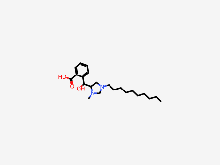 CCCCCCCCCCN1CC(C(O)c2ccccc2C(=O)O)N(C)C1